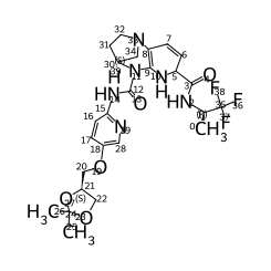 C[C@@H](NC(=O)C1C=CC2=C(N1)N(C(=O)Nc1ccc(OC[C@H]3COC(C)(C)O3)cn1)[C@H]1CCN2C1)C(F)(F)F